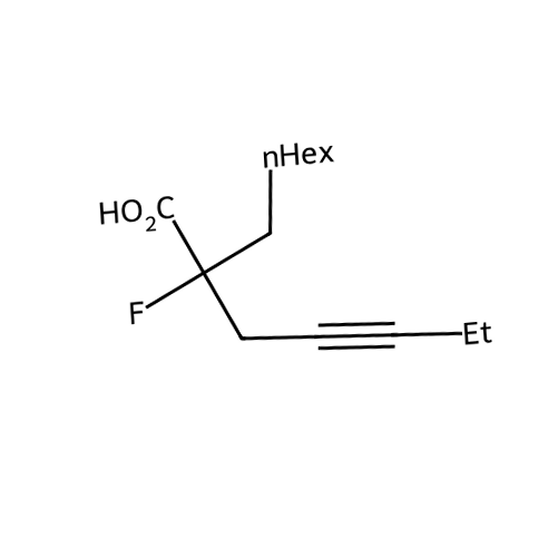 CCC#CCC(F)(CCCCCCC)C(=O)O